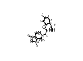 Cc1ccc([C@H](C)NC(=O)Cn2ncc3c(c(C)nn3C)c2=O)cc1